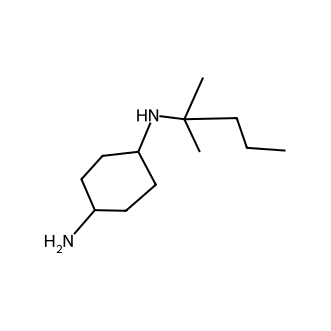 CCCC(C)(C)NC1CCC(N)CC1